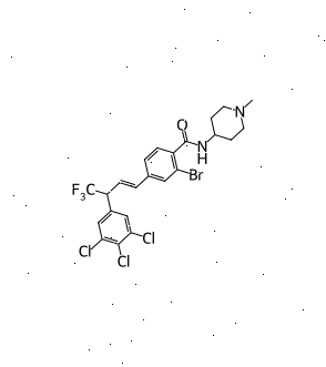 CN1CCC(NC(=O)c2ccc(C=CC(c3cc(Cl)c(Cl)c(Cl)c3)C(F)(F)F)cc2Br)CC1